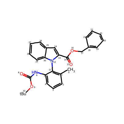 Cc1cccc(NC(=O)OC(C)(C)C)c1-n1c(C(=O)OCc2ccccc2)cc2ccccc21